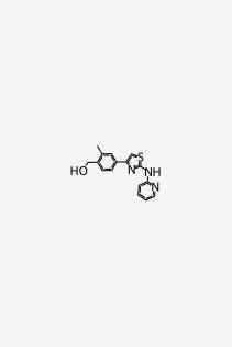 Cc1cc(-c2csc(Nc3ccccn3)n2)ccc1CO